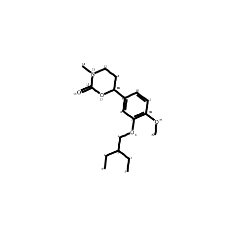 CCC(CC)COc1cc(C2CCN(C)C(=O)O2)ccc1OC